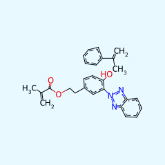 C=C(C)C(=O)OCCc1ccc(O)c(-n2nc3ccccc3n2)c1.C=C(C)c1ccccc1